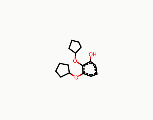 Oc1cccc(OC2CCCC2)c1OC1CCCC1